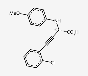 COc1ccc(N[C@@H](C#Cc2ccccc2Cl)C(=O)O)cc1